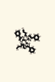 CCCCn1cc(-c2ccccc2)nc1P(c1nc(-c2ccccc2)cn1CCCC)c1nc(-c2ccccc2)cn1CCCC